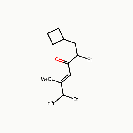 CCCC(CC)/C(=C/C(=O)C(CC)CC1CCC1)OC